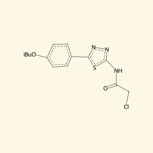 CC(C)COc1ccc(-c2nnc(NC(=O)CCl)s2)cc1